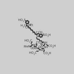 CC[N+]1=C(/C=C/C=C/C=C/C=C2/N(CCCCCC(=O)N[C@H](CCC(=O)O)C(=O)N[C@H](CCC(=O)O)C(=O)N[C@H](CCC(=O)O)C(=O)N[C@H](CCC(=O)O)C(=O)N[C@H](CCC(=O)O)C(=O)NC)c3ccc(S(=O)(=O)O)cc3C2(C)C)C(C)(C)c2cc(S(=O)(=O)O)ccc21